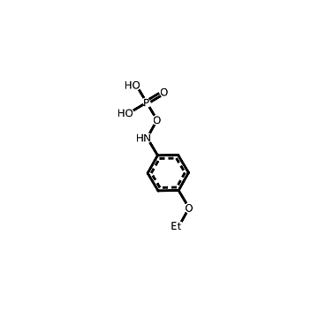 CCOc1ccc(NOP(=O)(O)O)cc1